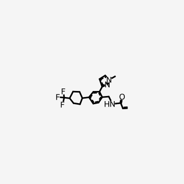 C=CC(=O)NCc1ccc(C2CCC(C(F)(F)F)CC2)cc1-c1ccn(C)n1